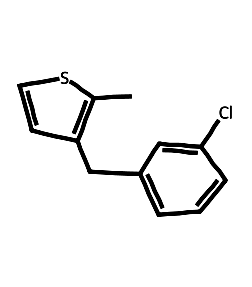 Cc1sccc1Cc1cccc(Cl)c1